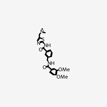 COc1ccc(C(=O)NCc2cccc(C(=O)Nc3ncc(CN(C)C)s3)c2)cc1OC